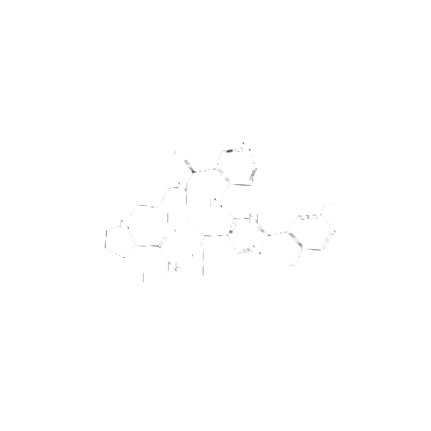 CC(C)c1cnc(-c2cc(Cl)ccc2F)nc1Nc1ccncc1C(=O)NCCCN1CCCC1C(=O)N(C)C